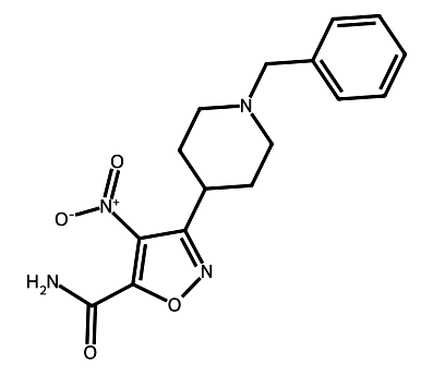 NC(=O)c1onc(C2CCN(Cc3ccccc3)CC2)c1[N+](=O)[O-]